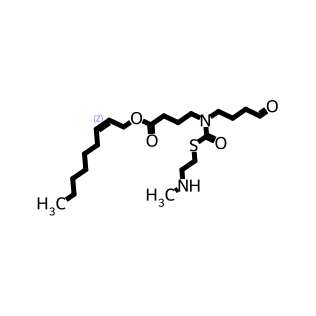 CCCCCC/C=C\COC(=O)CCCN(CCCC=O)C(=O)SCCNC